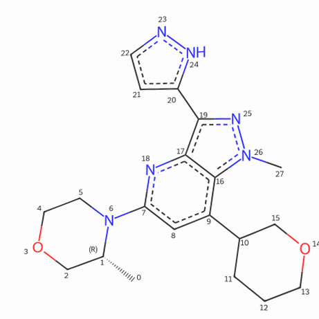 C[C@@H]1COCCN1c1cc(C2CCCOC2)c2c(n1)c(-c1ccn[nH]1)nn2C